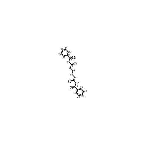 O=C(CCCCC(=O)CC(=O)c1ccccc1)CC(=O)c1ccccc1